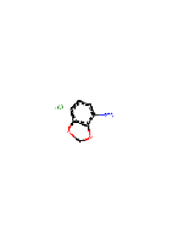 Cl.Nc1cccc2c1OCO2